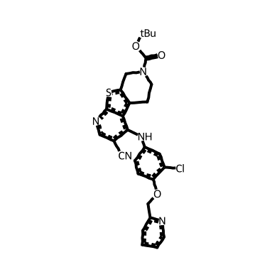 CC(C)(C)OC(=O)N1CCc2c(sc3ncc(C#N)c(Nc4ccc(OCc5ccccn5)c(Cl)c4)c23)C1